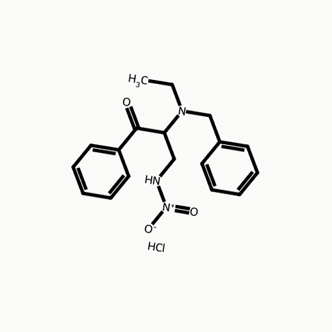 CCN(Cc1ccccc1)C(CN[N+](=O)[O-])C(=O)c1ccccc1.Cl